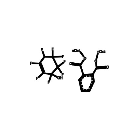 CCCCCCCCOC(=O)c1ccccc1C(=O)OCCCCCCCC.OC1(F)C(F)=C(F)C(F)C(F)(F)C1(F)F